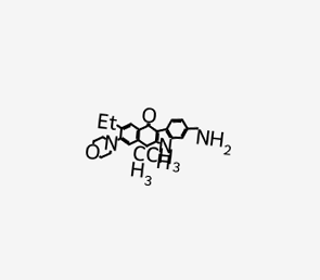 CCc1cc2c(cc1N1CCOCC1)C(C)(C)c1[nH]c3cc(CN)ccc3c1C2=O